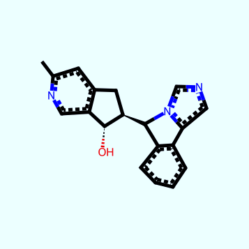 Cc1cc2c(cn1)[C@@H](O)[C@H](C1c3ccccc3-c3cncn31)C2